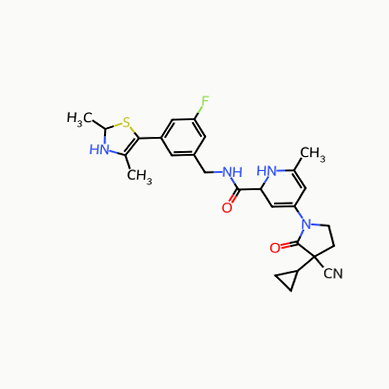 CC1=CC(N2CCC(C#N)(C3CC3)C2=O)=CC(C(=O)NCc2cc(F)cc(C3=C(C)NC(C)S3)c2)N1